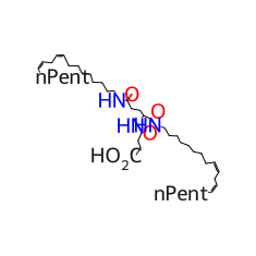 CCCCC/C=C\C/C=C\CCCCCCCCNC(=O)CCC(NC(=O)CCC(=O)O)C(=O)NCCCCCCCC/C=C\C/C=C\CCCCC